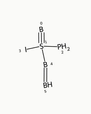 B#S(P)(I)B=B